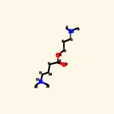 CN(C)CCCOC(=O)CCCN(C)C